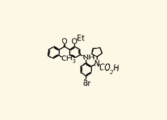 CCOc1cc(Nc2ccc(Br)cc2N(C(=O)O)C2CCCC2)ccc1C(=O)c1ccccc1C